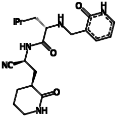 CC(C)C[C@H](NCc1ccc[nH]c1=O)C(=O)N[C@H](C#N)C[C@@H]1CCCNC1=O